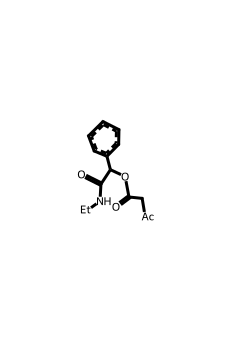 CCNC(=O)C(OC(=O)CC(C)=O)c1ccccc1